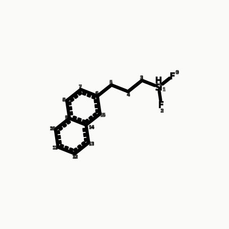 F[SiH](F)CCCc1ccc2ccccc2c1